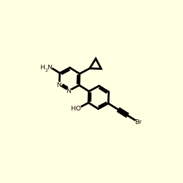 Nc1cc(C2CC2)c(-c2ccc(C#CBr)cc2O)nn1